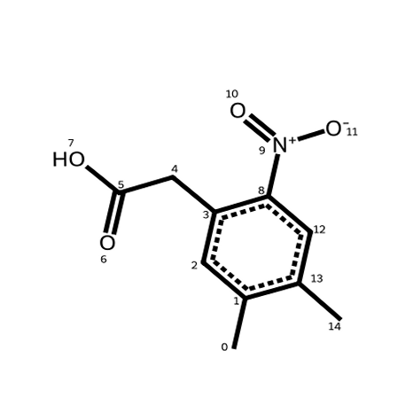 Cc1cc(CC(=O)O)c([N+](=O)[O-])cc1C